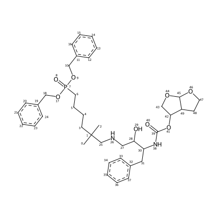 CC(C)(CCCCP(=O)(OCc1ccccc1)OCc1ccccc1)CNCC(O)C(Cc1ccccc1)NC(=O)OC1COC2OCCC12